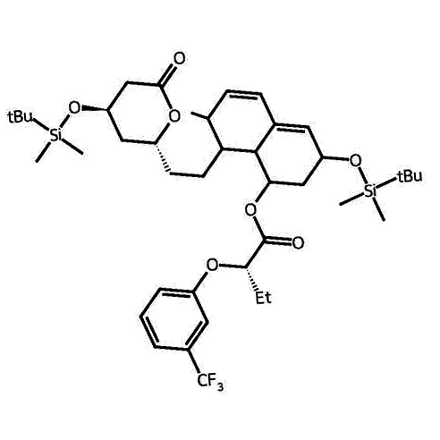 CC[C@H](Oc1cccc(C(F)(F)F)c1)C(=O)OC1CC(O[Si](C)(C)C(C)(C)C)C=C2C=CC(C)C(CC[C@@H]3C[C@@H](O[Si](C)(C)C(C)(C)C)CC(=O)O3)C21